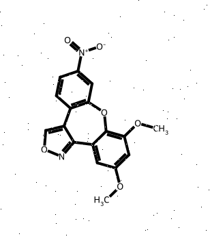 COc1cc(OC)c2c(c1)-c1nocc1-c1ccc([N+](=O)[O-])cc1O2